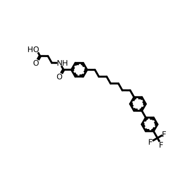 O=C(O)CCNC(=O)c1ccc(CCCCCCCc2ccc(-c3ccc(C(F)(F)F)cc3)cc2)cc1